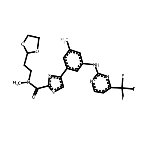 Cc1cc(Nc2nccc(C(F)(F)F)n2)cc(-c2cnc(C(=O)N(C)CCC3OCCO3)s2)c1